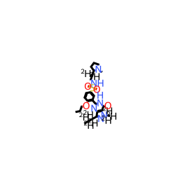 [2H]C([2H])(CNS(=O)(=O)c1ccc(OCCC)c(-c2nc3c(C([2H])([2H])C([2H])([2H])C)nn(C([2H])([2H])[2H])c3c(=O)[nH]2)c1)C1CCCN1C